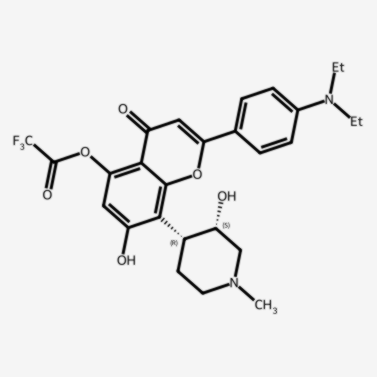 CCN(CC)c1ccc(-c2cc(=O)c3c(OC(=O)C(F)(F)F)cc(O)c([C@H]4CCN(C)C[C@H]4O)c3o2)cc1